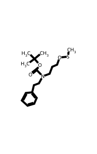 CSOCCCN(CCc1ccccc1)C(=O)OC(C)(C)C